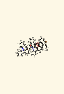 c1ccc(N(c2ccc(-c3ccccc3-n3c4ccccc4c4ccccc43)cc2)c2ccc(-c3cccc4sc5ccccc5c34)cc2)c(-c2cccc3oc4c5ccccc5ccc4c23)c1